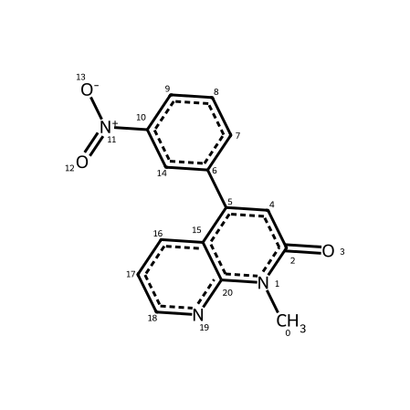 Cn1c(=O)cc(-c2cccc([N+](=O)[O-])c2)c2cccnc21